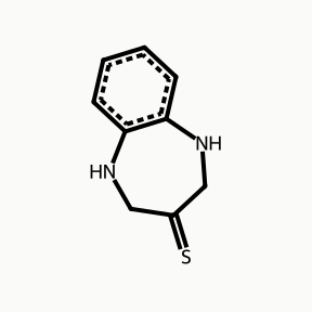 S=C1CNc2ccccc2NC1